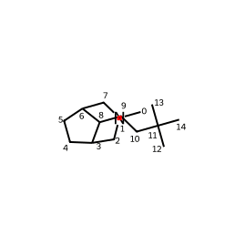 CN1CC2CCC(C1)C2CCC(C)(C)C